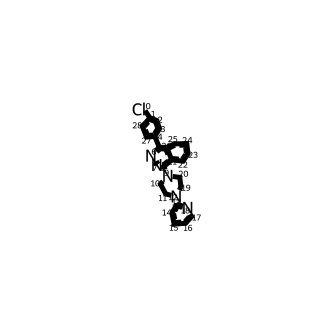 Clc1ccc(-c2nnc(N3CCN(c4ccccn4)CC3)c3ccccc23)cc1